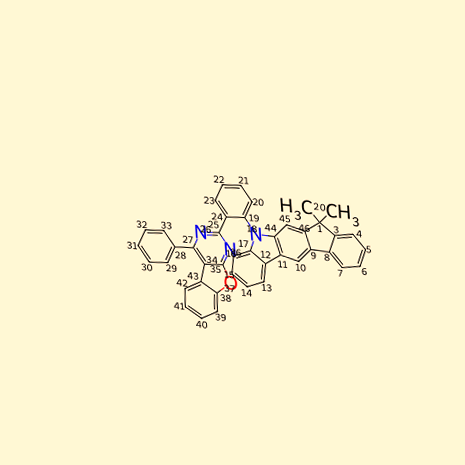 CC1(C)c2ccccc2-c2cc3c4ccccc4n(-c4ccccc4-c4nc(-c5ccccc5)c5c(n4)oc4ccccc45)c3cc21